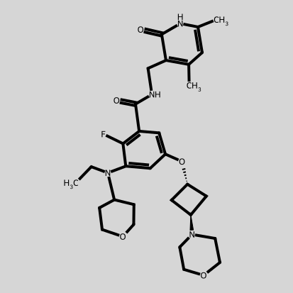 CCN(c1cc(O[C@H]2C[C@H](N3CCOCC3)C2)cc(C(=O)NCc2c(C)cc(C)[nH]c2=O)c1F)C1CCOCC1